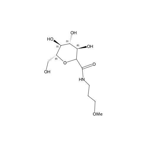 COCCCNC(=O)C1O[C@H](CO)[C@@H](O)[C@H](O)[C@H]1O